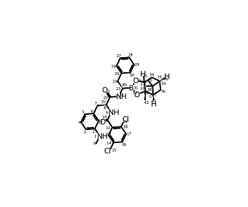 CNc1cccc(C[C@H](NC(=O)c2cc(Cl)ccc2Cl)C(=O)N[C@@H](Cc2ccccc2)B2O[C@@H]3C[C@@H]4C[C@@H](C4(C)C)[C@]3(C)O2)c1